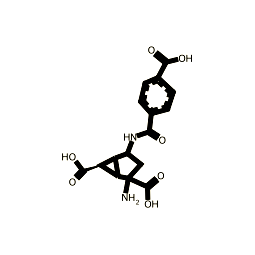 NC1(C(=O)O)CC(NC(=O)c2ccc(C(=O)O)cc2)C2C1[C@H]2C(=O)O